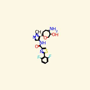 Cn1ncc(NC(=O)c2csc(-c3c(F)cccc3F)n2)c1[C@@H]1CC[C@@H](N)[C@H](O)CO1